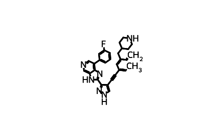 C=C/C(=C\C(C#Cc1c[nH]nc1-c1nc2c(-c3cccc(F)c3)cncc2[nH]1)=C/C)CC1CCNCC1